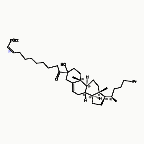 CCCCCCCC/C=C\CCCCCCCC(=O)C1(O)CC[C@@]2(C)C(=CC[C@H]3[C@@H]4CC[C@H]([C@H](C)CCCC(C)C)[C@@]4(C)CC[C@@H]32)C1